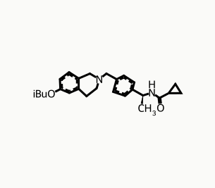 CC(C)COc1ccc2c(c1)CCN(Cc1ccc([C@H](C)NC(=O)C3CC3)cc1)C2